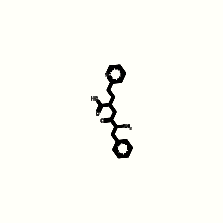 NC(Cc1ccccc1)C(=O)CC(CCc1ccccn1)C(=O)O